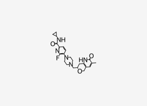 Cc1cc2c([nH]c1=O)CC(CN1CCN(c3ccc(C(=O)NC4CC4)nc3F)CC1)OC2